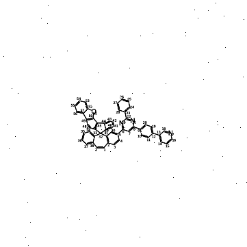 C1=Cc2ccc(-c3cc(-c4ccc(-c5cccnc5)cc4)nc(-c4ccccc4)n3)cc2C2(c3ccccc31)c1ccccc1-c1c2ccc2c1oc1ccccc12